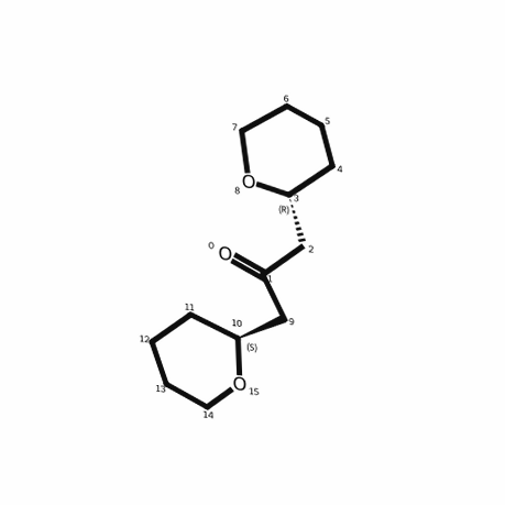 O=C(C[C@H]1CCCCO1)C[C@@H]1CCCCO1